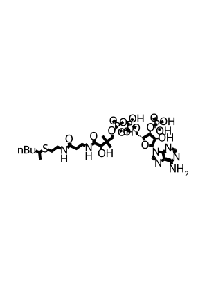 CCCCC(C)SCCNC(=O)CCNC(=O)[C@H](O)C(C)(C)COP(=O)(O)OP(=O)(O)OC[C@H]1O[C@@H](n2cnc3c(N)ncnc32)[C@H](O)[C@@H]1OP(=O)(O)O